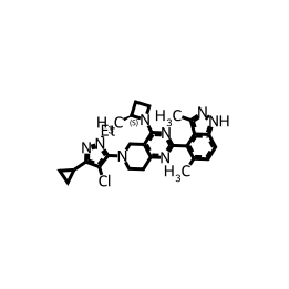 CCn1nc(C2CC2)c(Cl)c1N1CCc2nc(-c3c(C)ccc4[nH]nc(C)c34)nc(N3CC[C@@H]3C)c2C1